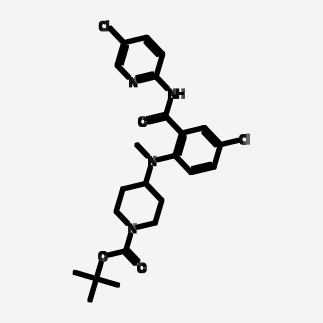 CN(c1ccc(Cl)cc1C(=O)Nc1ccc(Cl)cn1)C1CCN(C(=O)OC(C)(C)C)CC1